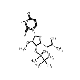 CO[C@@H]1[C@H](O[Si](C)(C)C(C)(C)C)[C@@H](C[C@@H](C)O)O[C@H]1n1ccc(=O)[nH]c1=O